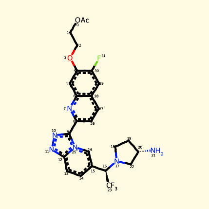 CC(=O)OCCOc1cc2nc(-c3nnc4ccc([C@@H](N5CC[C@H](N)C5)C(F)(F)F)cn34)ccc2cc1F